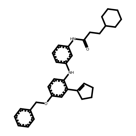 O=C(CCC1CCCCC1)Nc1cccc(Nc2ccc(OCc3ccccc3)cc2C2=CCCC2)c1